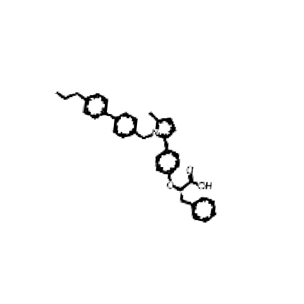 CCCc1ccc(-c2ccc(Cn3c(C)ccc3-c3ccc(O[C@H](Cc4ccccc4)C(=O)O)cc3)cc2)cc1